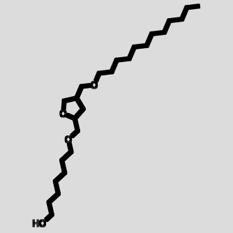 CCCCCCCCCCCCOCC1COC(COCCCCCCCO)C1